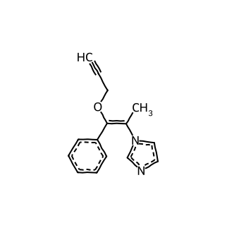 C#CCOC(=C(C)n1ccnc1)c1ccccc1